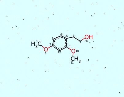 COc1ccc(CCO)c(OC)c1